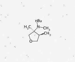 CCCCN(C)[C@]1(C)COC[C@@H]1C